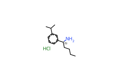 CCCC[C@H](N)c1cccc(C(C)C)c1.Cl